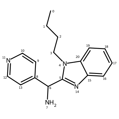 CCCCn1c(C(N)c2ccncc2)nc2ccccc21